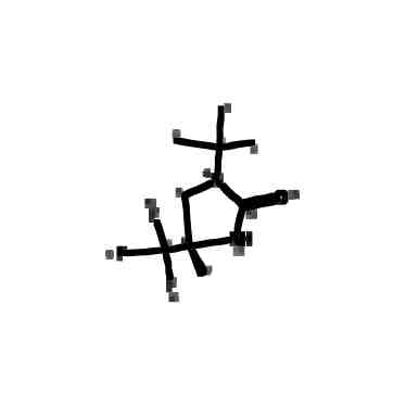 CC(C)(C)N1C[C@@](C)(C(F)(F)F)NC1=O